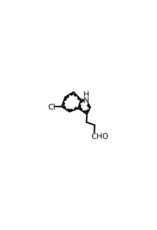 O=CCCc1c[nH]c2ccc(Cl)cc12